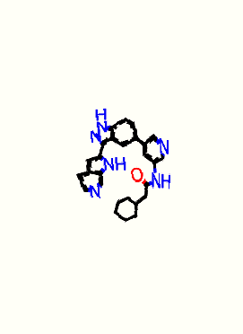 O=C(CC1CCCCC1)Nc1cncc(-c2ccc3[nH]nc(-c4cc5ccncc5[nH]4)c3c2)c1